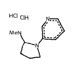 CNC1CCCN1c1cccnc1.Cl.Cl